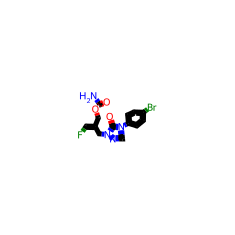 NC(=O)OC/C(=C/F)Cn1ncn(-c2ccc(Br)cc2)c1=O